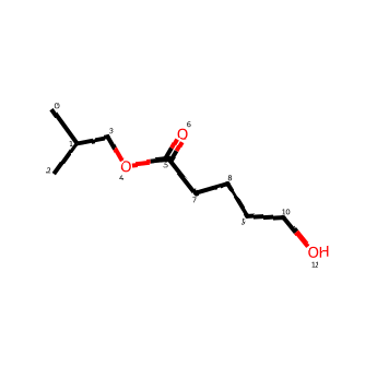 CC(C)COC(=O)CCCCO